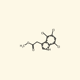 COC(=O)Cc1c[nH]c2c(Cl)cc(Cl)c(Cl)c12